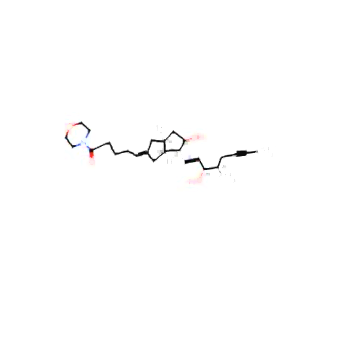 CC#CC[C@@H](C)[C@@H](O)/C=C/[C@@H]1[C@H]2CC(=CCCCC(=O)N3CCOCC3)C[C@H]2C[C@H]1O